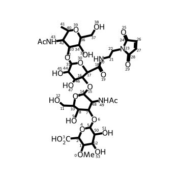 COC1C(C(=O)O)OC(OC2C(O)C(CO)OC(OC3C(C(=O)NCCN4C(=O)C=CC4=O)OC(OC4C(O)C(CO)OC(C)C4NC(C)=O)C(O)C3O)C2NC(C)=O)C(O)C1O